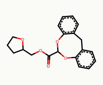 O=C(OCC1CCCO1)C1Oc2ccccc2Cc2ccccc2O1